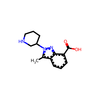 Cc1c2cccc(C(=O)O)c2nn1C1CCCNC1